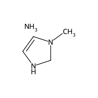 CN1C=CNC1.N